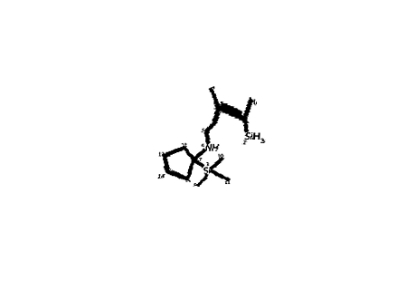 CC([SiH3])=C(C)CNC1([Si](C)(C)C)CCCC1